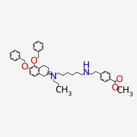 CCCN(CCCCCCNCCc1ccc(C(=O)OC)cc1)[C@H]1CCc2c(ccc(OCc3ccccc3)c2OCc2ccccc2)C1